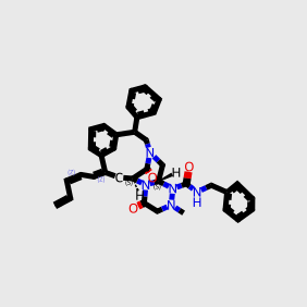 C=C/C=C\C=C1\C[C@H]2C(=O)N(CC(c3ccccc3)c3cccc1c3)C[C@H]1N2C(=O)CN(C)N1C(=O)NCc1ccccc1